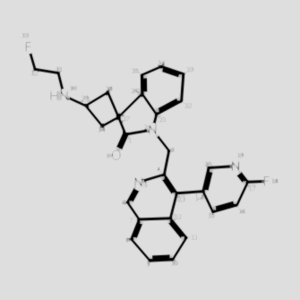 O=C1N(Cc2ncc3ccccc3c2-c2ccc(F)nc2)c2ccccc2C12CC(NCCF)C2